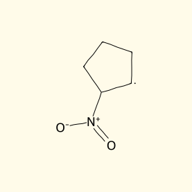 O=[N+]([O-])C1[CH]CCC1